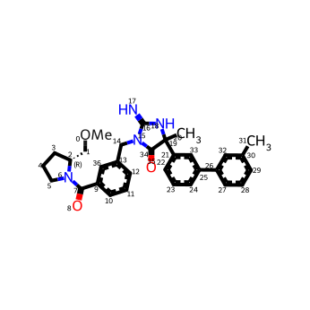 COC[C@H]1CCCN1C(=O)c1cccc(CN2C(=N)NC(C)(c3cccc(-c4cccc(C)c4)c3)C2=O)c1